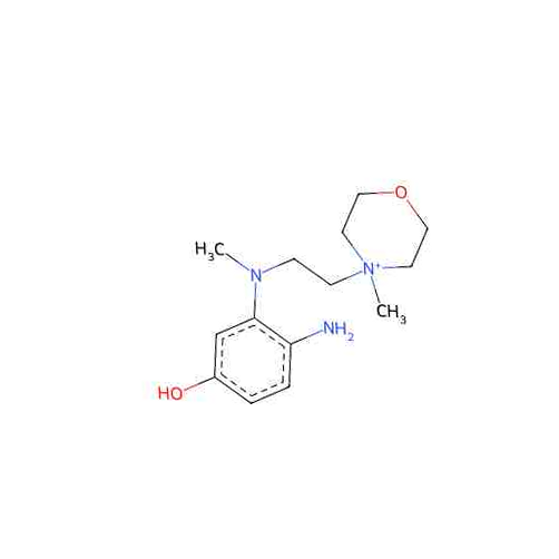 CN(CC[N+]1(C)CCOCC1)c1cc(O)ccc1N